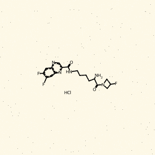 Cl.NC(CCCCNC(=O)c1cnc2cc(F)c(F)cc2n1)C(=O)N1CC(F)C1